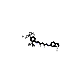 CN(C)c1ccc(/C=C/C(=O)CC(=O)/C=C/c2ccc3cc[nH]c3c2)c([N+](=O)[O-])c1